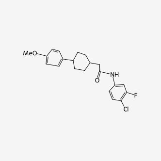 COc1ccc(C2CCC(CC(=O)Nc3ccc(Cl)c(F)c3)CC2)cc1